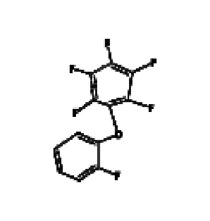 Fc1ccccc1Oc1c(F)c(F)c(F)c(F)c1F